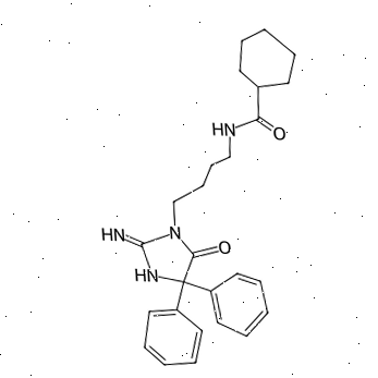 N=C1NC(c2ccccc2)(c2ccccc2)C(=O)N1CCCCNC(=O)C1CCCCC1